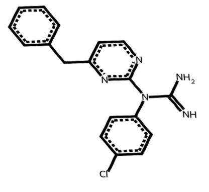 N=C(N)N(c1ccc(Cl)cc1)c1nccc(Cc2ccccc2)n1